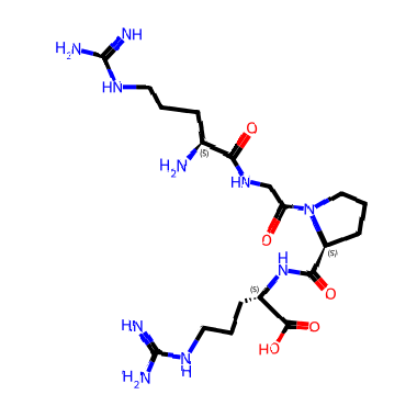 N=C(N)NCCC[C@H](NC(=O)[C@@H]1CCCN1C(=O)CNC(=O)[C@@H](N)CCCNC(=N)N)C(=O)O